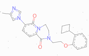 Cc1cn(-c2ccc3n(c2=O)CCN(CCOc2ccccc2C2CCC2)C3=O)cn1